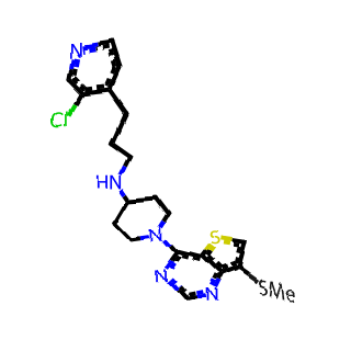 CSc1csc2c(N3CCC(NCCCc4ccncc4Cl)CC3)ncnc12